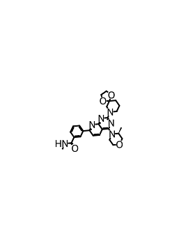 CNC(=O)c1cccc(-c2ccc3c(N4CCOC[C@@H]4C)nc(N4CCCC5(C4)OCCO5)nc3n2)c1